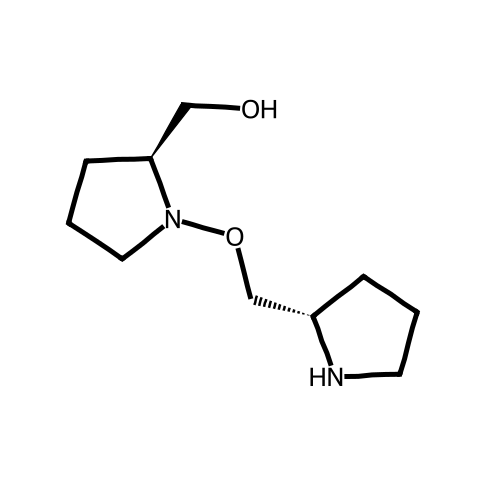 OC[C@@H]1CCCN1OC[C@@H]1CCCN1